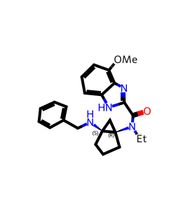 CCN(C(=O)c1nc2c(OC)cccc2[nH]1)[C@@]12CCC[C@]1(NCc1ccccc1)C2